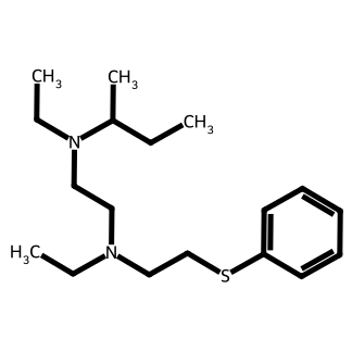 CCC(C)N(CC)CCN(CC)CCSc1ccccc1